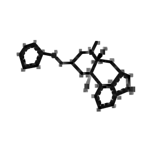 CN1CC(COc2ccccc2)C[C@@H]2c3cccc4[nH]cc(c34)C[C@H]21